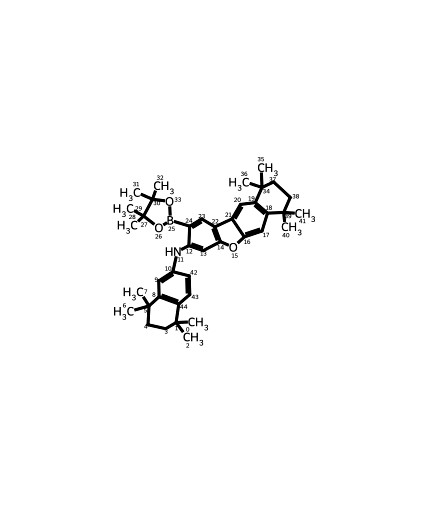 CC1(C)CCC(C)(C)c2cc(Nc3cc4oc5cc6c(cc5c4cc3B3OC(C)(C)C(C)(C)O3)C(C)(C)CCC6(C)C)ccc21